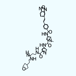 [H]/N=C(\CCNC(=O)c1cc(NC(=O)c2cc(NC(=O)c3ccc(C=Cc4ccc5nonc5c4)cc3)cn2C)cn1C)NCCC1CCOCC1